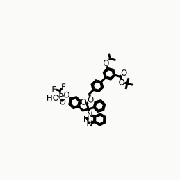 CC(C)Oc1cc(C(=O)OC(C)(C)C)cc(-c2ccc(COC(=O)C(Cc3ccc(OP(=O)(O)C(F)F)cc3)(c3ccccc3)n3nnc4ccccc43)cc2)c1